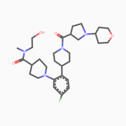 CN(CCO)C(=O)C1CCN(c2cc(F)ccc2C2CCN(C(=O)C3CCN(C4CCOCC4)C3)CC2)CC1